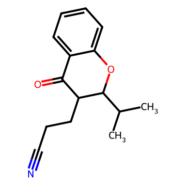 CC(C)C1Oc2ccccc2C(=O)C1CCC#N